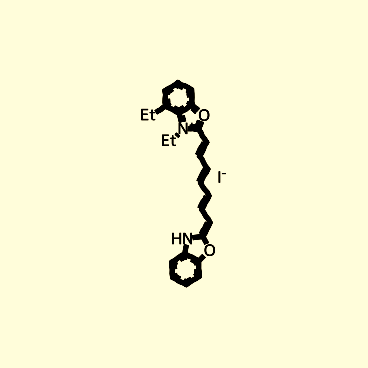 CCc1cccc2oc(C=CC=CC=CC=C3Nc4ccccc4O3)[n+](CC)c12.[I-]